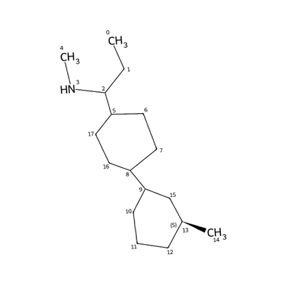 CCC(NC)C1CCC(C2CCC[C@H](C)C2)CC1